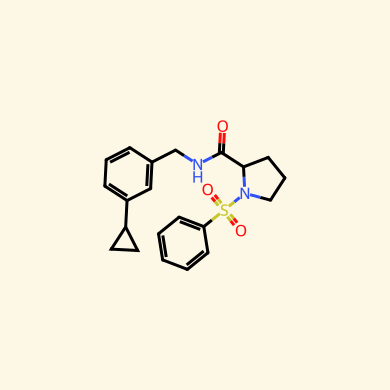 O=C(NCc1cccc(C2CC2)c1)C1CCCN1S(=O)(=O)c1ccccc1